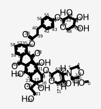 CO[C@H]1OCCN2[C@@H]1O[C@@H]1[C@H](C)O[C@@H](O[C@H]3C[C@](O)(C(=O)CO)Cc4c(O)c5c(c(O)c43)C(=O)c3c(OC(=O)CCc4ccc(O[C@@H]6OC[C@@H](O)[C@H](O)[C@H]6O)cc4)cccc3C5=O)C[C@@H]12